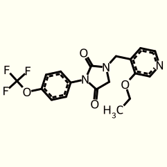 CCOc1cnccc1CN1CC(=O)N(c2ccc(OC(F)(F)F)cc2)C1=O